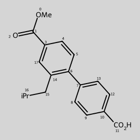 COC(=O)c1ccc(-c2ccc(C(=O)O)cc2)c(CC(C)C)c1